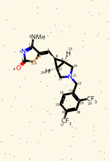 CNC1=NC(=O)S/C1=C\[C@H]1[C@H]2CN(Cc3ccc(C(F)(F)F)cc3C(F)(F)F)C[C@@H]12